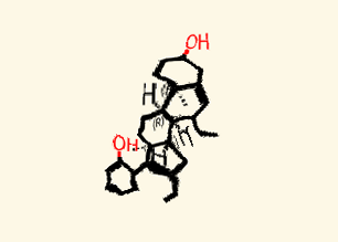 CCC1=C(c2ccccc2O)[C@@]2(C)CC[C@@H]3[C@@H](C(CC)C=C4CC(O)CC[C@@]43C)[C@@H]2C1